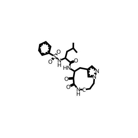 CC(C)CC(NS(=O)(=O)c1ccccc1)C(=O)NC1Cc2cnn(c2)CCCNC(=O)C1=O